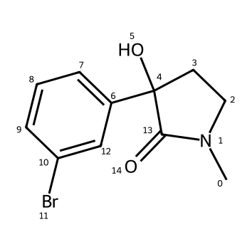 CN1CCC(O)(c2cccc(Br)c2)C1=O